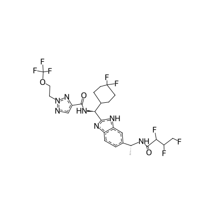 C[C@@H](NC(=O)C(F)C(F)CF)c1ccc2nc([C@@H](NC(=O)c3cnn(CCOC(F)(F)F)n3)C3CCC(F)(F)CC3)[nH]c2c1